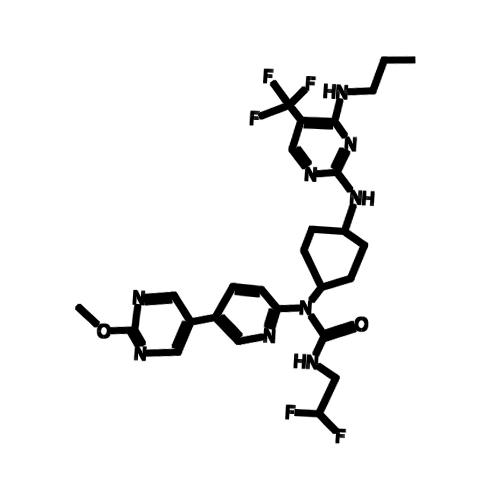 CCCNc1nc(NC2CCC(N(C(=O)NCC(F)F)c3ccc(-c4cnc(OC)nc4)cn3)CC2)ncc1C(F)(F)F